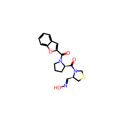 O=C([C@H]1CCCN1C(=O)c1cc2ccccc2o1)N1CSC[C@H]1C=NO